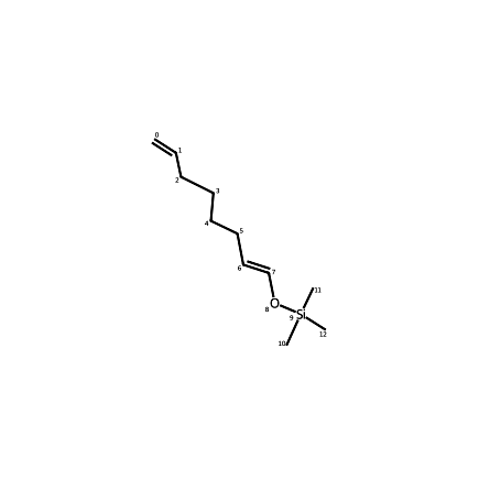 C=CCCCCC=CO[Si](C)(C)C